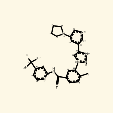 Cc1ccc(C(=O)Nc2cc(C(F)(F)F)ccn2)cc1-n1cc(-c2cncc(N3CCCC3)c2)nn1